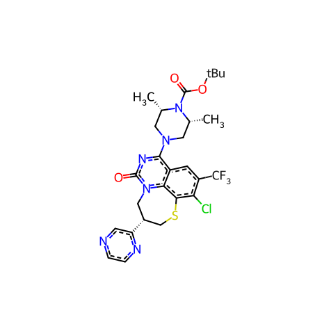 C[C@@H]1CN(c2nc(=O)n3c4c(c(Cl)c(C(F)(F)F)cc24)SC[C@H](c2cnccn2)C3)C[C@H](C)N1C(=O)OC(C)(C)C